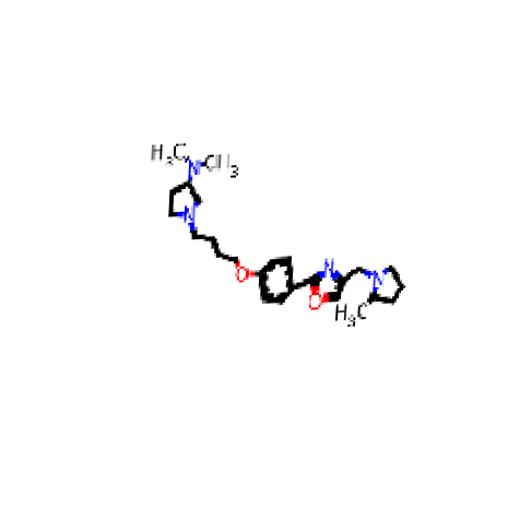 CC1CCCN1Cc1coc(-c2ccc(OCCCCN3CCC(N(C)C)C3)cc2)n1